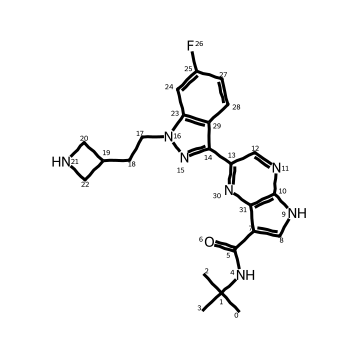 CC(C)(C)NC(=O)c1c[nH]c2ncc(-c3nn(CCC4CNC4)c4cc(F)ccc34)nc12